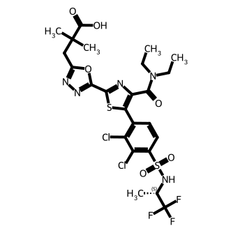 CCN(CC)C(=O)c1nc(-c2nnc(CC(C)(C)C(=O)O)o2)sc1-c1ccc(S(=O)(=O)N[C@@H](C)C(F)(F)F)c(Cl)c1Cl